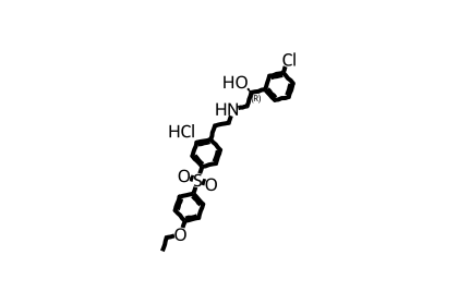 CCOc1ccc(S(=O)(=O)c2ccc(CCNC[C@H](O)c3cccc(Cl)c3)cc2)cc1.Cl